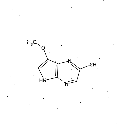 COc1c[nH]c2ncc(C)nc12